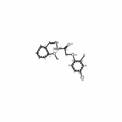 COc1ccccc1/C=N\NC(=O)COc1ccc(Cl)cc1C